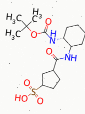 CC(C)(C)OC(=O)N[C@@H]1CCCCC1NC(=O)C1CCC(S(=O)(=O)O)C1